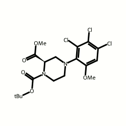 COC(=O)[C@H]1CN(c2c(OC)cc(Cl)c(Cl)c2Cl)CCN1C(=O)OC(C)(C)C